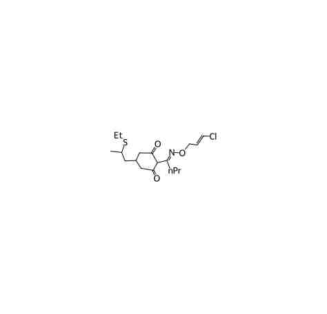 CCCC(=NOC/C=C/Cl)C1C(=O)CC(CC(C)SCC)CC1=O